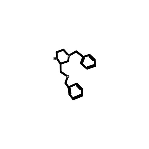 c1ccc(COCC2CN(Cc3ccccc3)CCN2)cc1